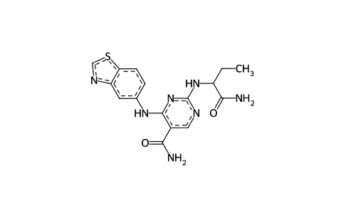 CCC(Nc1ncc(C(N)=O)c(Nc2ccc3scnc3c2)n1)C(N)=O